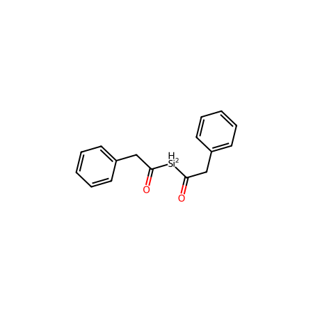 O=C(Cc1ccccc1)[SiH2]C(=O)Cc1ccccc1